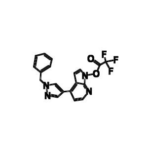 O=C(On1ccc2c(-c3cnn(Cc4ccccc4)c3)ccnc21)C(F)(F)F